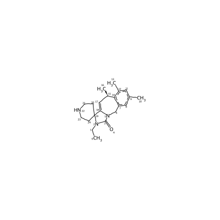 CCN1C(=O)N2Cc3cc(C)cc(C)c3[C@H](C)C=C2C12CCNCC2